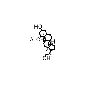 CC(=O)OC1CC(O)CC2=CC[C@H]3[C@@H]4CC=C([C@H](C)CO)[C@@]4(C)CC[C@@H]3[C@]21C